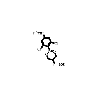 CCCCCCCC1COB(c2c(Cl)cc(CCCCC)cc2Cl)OC1